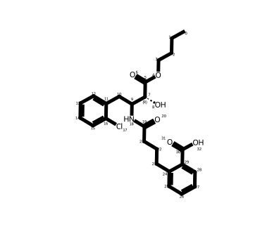 CCCCOC(=O)[C@H](O)C(Cc1ccccc1Cl)NC(=O)CCCc1ccccc1C(=O)O